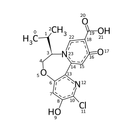 CC(C)[C@@H]1COc2cc(O)c(Cl)nc2-c2cc(=O)c(C(=O)O)cn21